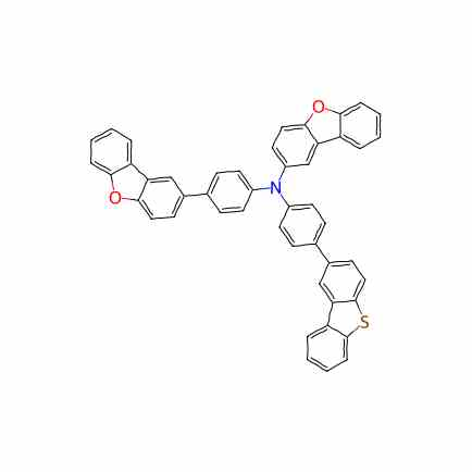 c1ccc2c(c1)oc1ccc(-c3ccc(N(c4ccc(-c5ccc6sc7ccccc7c6c5)cc4)c4ccc5oc6ccccc6c5c4)cc3)cc12